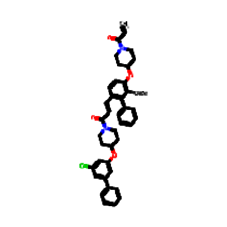 C=CC(=O)N1CCC(Oc2ccc(/C=C/C(=O)N3CCC(Oc4cc(Cl)cc(-c5ccccc5)c4)CC3)c(-c3ccccc3)c2OC)CC1